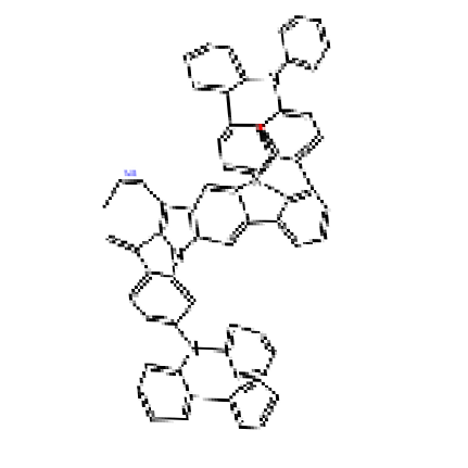 C=c1c2ccc(N(c3ccccc3)c3ccccc3-c3ccccc3)cc2n2c1c(/C=C\C)c1cc3c(cc12)c1cccc2c4ccc(N(c5ccccc5)c5ccccc5-c5ccccc5)cc4n3c21